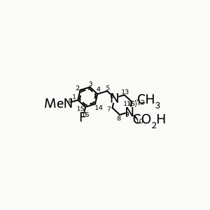 CNc1ccc(CN2CCN(C(=O)O)[C@@H](C)C2)cc1F